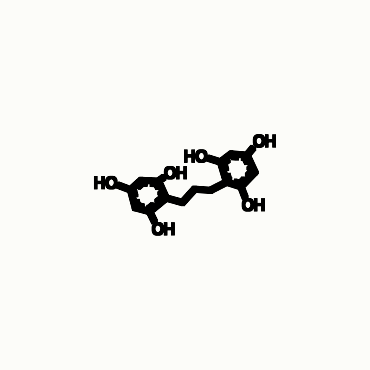 Oc1cc(O)c(CCCc2c(O)cc(O)cc2O)c(O)c1